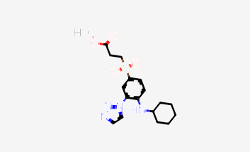 COC(=O)CCS(=O)(=O)c1ccc(NC2CCCCC2)c(-n2ccnn2)c1